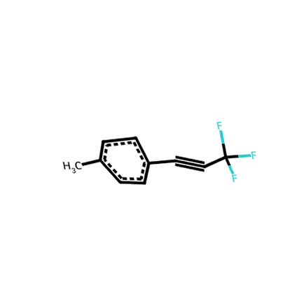 Cc1ccc(C#CC(F)(F)F)cc1